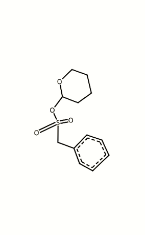 O=S(=O)(Cc1ccccc1)OC1CCCCO1